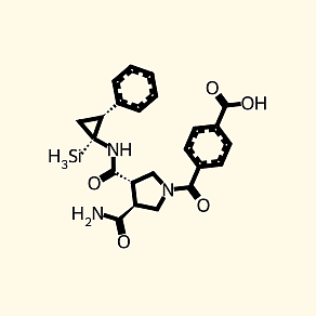 NC(=O)[C@@H]1CN(C(=O)c2ccc(C(=O)O)cc2)C[C@H]1C(=O)N[C@@]1([SiH3])C[C@@H]1c1ccccc1